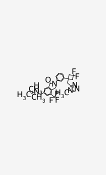 Cn1cnnc1CC1(c2cccc(N3Cc4c(cc(CNC(C)(C)C)cc4C(F)(F)F)C3=O)c2)CC(F)(F)C1